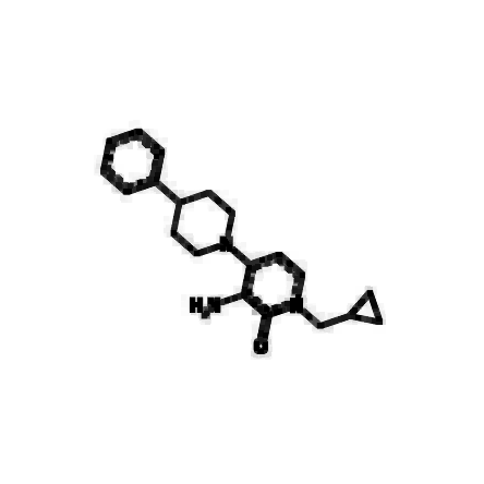 Nc1c(N2CCC(c3ccccc3)CC2)ccn(CC2CC2)c1=O